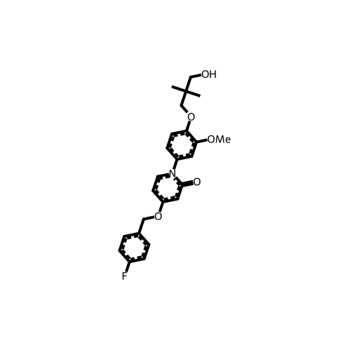 COc1cc(-n2ccc(OCc3ccc(F)cc3)cc2=O)ccc1OCC(C)(C)CO